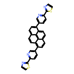 c1csc(-c2ccc(-c3ccc4ccc5c(-c6ccc(-c7nccs7)nc6)ccc6ccc3c4c65)cn2)n1